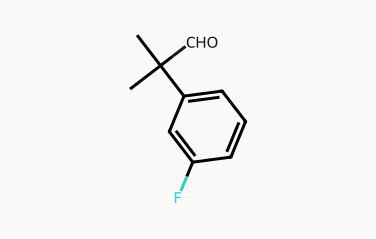 CC(C)(C=O)c1cccc(F)c1